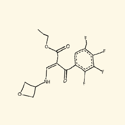 CCOC(=O)/C(=C/NC1COC1)C(=O)c1cc(F)c(F)c(F)c1F